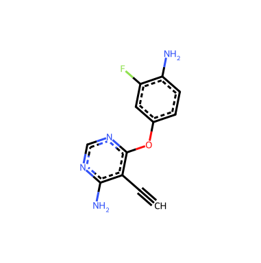 C#Cc1c(N)ncnc1Oc1ccc(N)c(F)c1